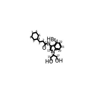 O=C(CCC1CCCCC1)Nc1cn(C(CO)CO)c2cccc(Br)c12